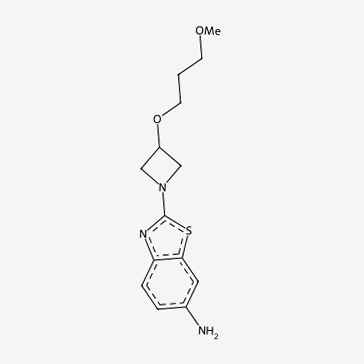 COCCCOC1CN(c2nc3ccc(N)cc3s2)C1